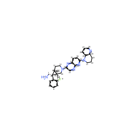 NC[C@]1(c2ccccc2F)[C@@H]2CCN(c3cnc4nc(N5CCCc6ncccc65)ccc4n3)C[C@@H]21